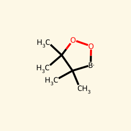 CC1(C)[B]OOC1(C)C